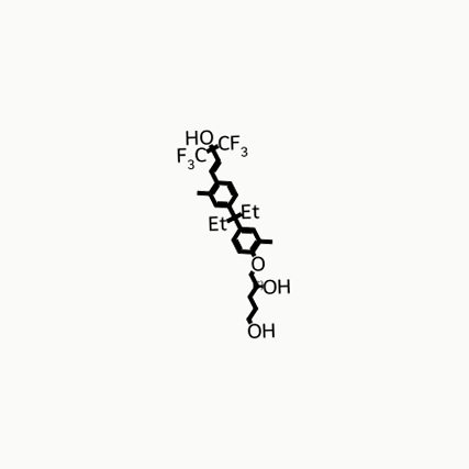 CCC(CC)(c1ccc(C=CC(O)(C(F)(F)F)C(F)(F)F)c(C)c1)c1ccc(OC[C@@H](O)CCCO)c(C)c1